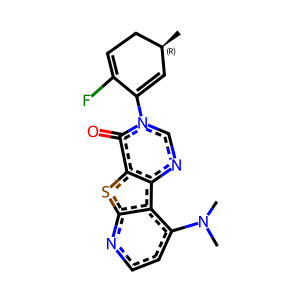 C[C@H]1C=C(n2cnc3c(sc4nccc(N(C)C)c43)c2=O)C(F)=CC1